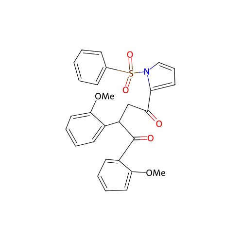 COc1ccccc1C(=O)C(CC(=O)c1cccn1S(=O)(=O)c1ccccc1)c1ccccc1OC